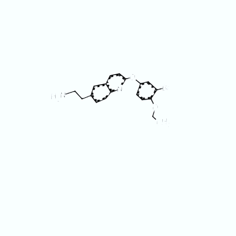 CCOc1ccc(Oc2ccc3cc(CCN)ccc3n2)cc1Br